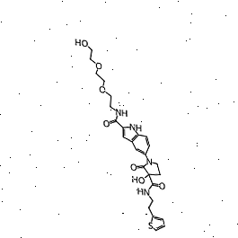 O=C(NCCOCCOCCO)c1cc2cc(N3CCC(O)(C(=O)NCCc4cccs4)C3=O)ccc2[nH]1